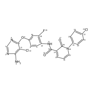 Nc1ncnc(Oc2ccc(NC(=O)c3cccn(-c4ccc(Cl)cc4)c3=O)c(F)c2)c1Cl